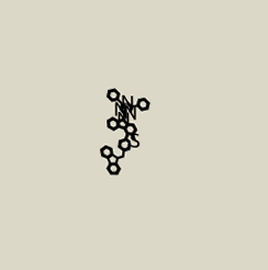 c1ccc(-c2nc(-c3ccccc3)nc(-n3c4ccccc4c4c5c(ccc43)sc3cc(CC4c6ccccc6-c6ccccc64)ccc35)n2)cc1